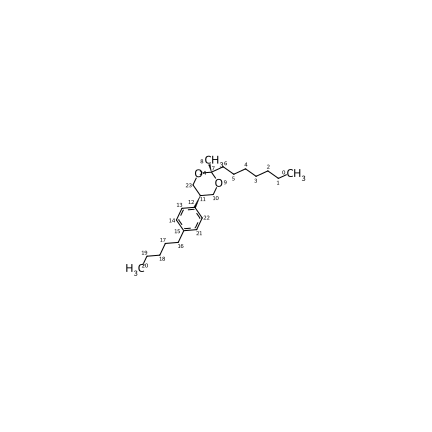 CCCCCCC[C@]1(C)OC[C@@H](c2ccc(CCCCC)cc2)CO1